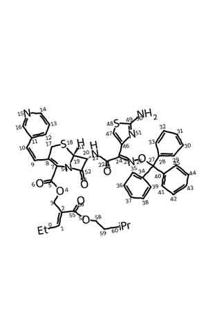 CC/C=C(\COC(=O)C1=C(/C=C\c2cccnc2)CS[C@@H]2[C@H](NC(=O)/C(=N/OC(c3ccccc3)(c3ccccc3)c3ccccc3)c3csc(N)n3)C(=O)N12)C(=O)OCCC(C)C